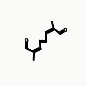 CC(C=O)=CC=CC=C(C)C=O